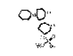 C1CCNCC1.C1CCNCC1.C1CCNCC1.O=P(O)(O)O